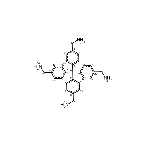 NCc1ccc(C(c2ccc(CN)cc2)(c2ccc(CN)cc2)c2ccc(CN)cc2)cc1